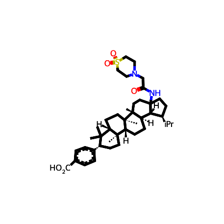 CC(C)[C@@H]1CCC2(NC(=O)CN3CCS(=O)(=O)CC3)CC[C@]3(C)[C@H](CC[C@@H]4[C@@]5(C)CC[C@H](c6ccc(C(=O)O)cc6)C(C)(C)[C@@H]5CC[C@]43C)[C@@H]12